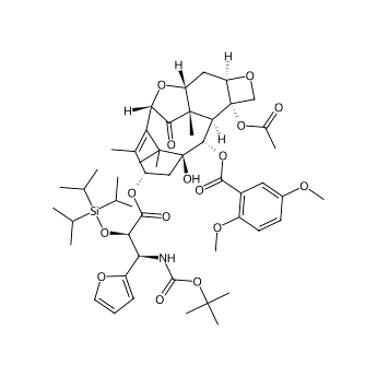 COc1ccc(OC)c(C(=O)O[C@H]2[C@@H]3[C@]4(OC(C)=O)CO[C@@H]4C[C@H]4O[C@H](C(=O)[C@@]34C)C3=C(C)[C@@H](OC(=O)[C@H](O[Si](C(C)C)(C(C)C)C(C)C)[C@@H](NC(=O)OC(C)(C)C)c4ccco4)C[C@]2(O)C3(C)C)c1